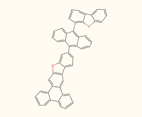 c1ccc2c(c1)sc1c(-c3c4ccccc4c(-c4ccc5c(c4)oc4cc6c7ccccc7c7ccccc7c6cc45)c4ccccc34)cccc12